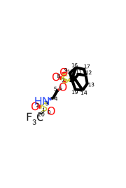 O=S(=O)(NCCOS(=O)(=O)C12CC3CC(CC(C3)C1)C2)C(F)(F)F